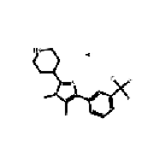 Cc1c(-c2cccc(C(F)(F)F)c2)nc(C2CCNCC2)n1C.Cl